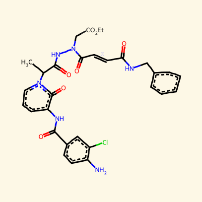 CCOC(=O)CN(NC(=O)C(C)n1cccc(NC(=O)c2ccc(N)c(Cl)c2)c1=O)C(=O)/C=C/C(=O)NCc1ccccc1